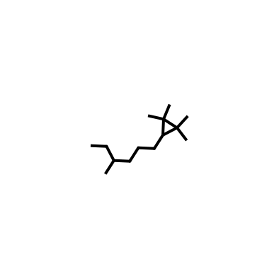 CCC(C)CCCC1C(C)(C)C1(C)C